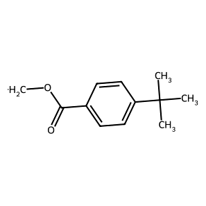 [CH2]OC(=O)c1ccc(C(C)(C)C)cc1